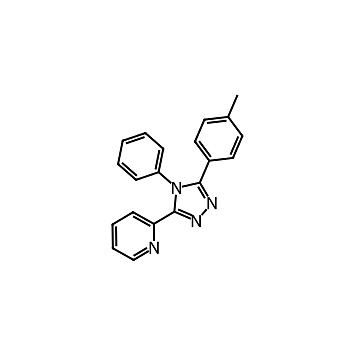 Cc1ccc(-c2nnc(-c3ccccn3)n2-c2ccccc2)cc1